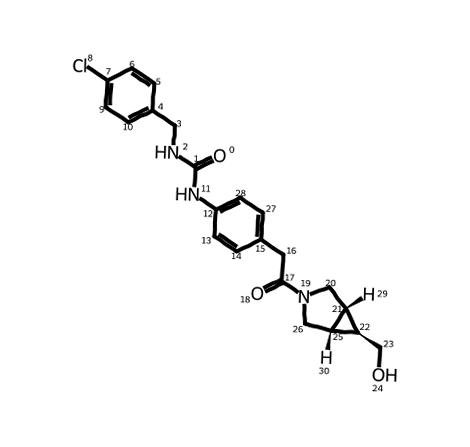 O=C(NCc1ccc(Cl)cc1)Nc1ccc(CC(=O)N2C[C@@H]3[C@@H](CO)[C@@H]3C2)cc1